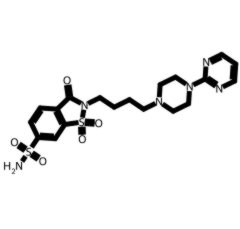 NS(=O)(=O)c1ccc2c(c1)S(=O)(=O)N(CCCCN1CCN(c3ncccn3)CC1)C2=O